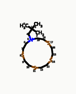 CC(C)(C)CN1CCSCCSCCSCCSCC1